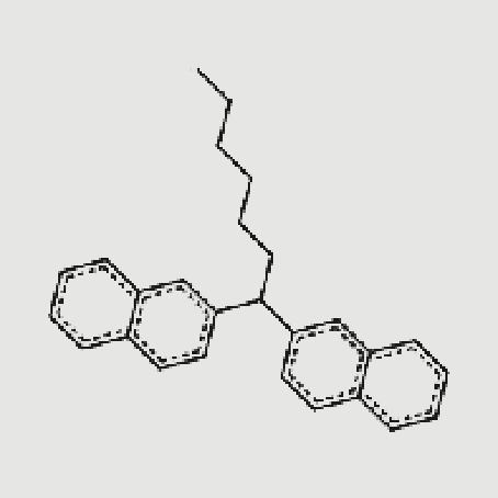 [CH2]CCCCCC(c1ccc2ccccc2c1)c1ccc2ccccc2c1